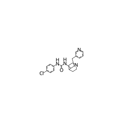 O=C(Nc1ccc(Cl)cc1)NC1C2CCN(CC2)C1Cc1cccnc1